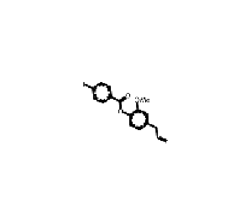 C=CCc1ccc(OC(=O)c2ccc(I)cc2)c(OC)c1